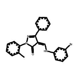 Cc1ccccc1N1N=C(c2ccccc2)C(=CNc2cccc(Br)c2)C1=O